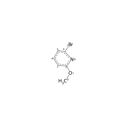 COc1cc[c]c(Br)n1